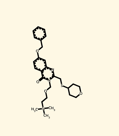 C[Si](C)(C)CCOCn1c(CSC2CCOCC2)nc2cc(OCc3ccccc3)ccc2c1=O